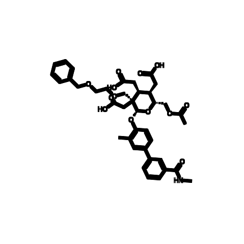 CNC(=O)c1cccc(-c2ccc(O[C@H]3O[C@@H](COC(C)=O)[C@H](CC(=O)O)[C@H](CC(=O)O)[C@]3(COCCOCc3ccccc3)CC(=O)O)c(C)c2)c1